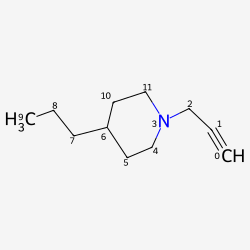 C#CCN1CCC(CCC)CC1